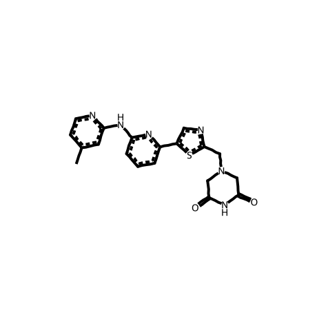 Cc1ccnc(Nc2cccc(-c3cnc(CN4CC(=O)NC(=O)C4)s3)n2)c1